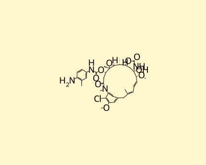 COc1cc2cc(c1Cl)N(C)C(=O)C[C@H](OC(=O)Nc1ccc(N)c(C)c1)[C@]1(C)O[C@H]1[C@H](C)[C@@H]1C[C@@](O)(NC(=O)O1)[C@H](OC)/C=C/C=C(\C)C2